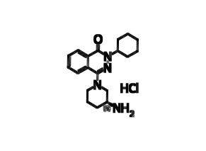 Cl.N[C@H]1CCCN(c2nn(C3CCCCC3)c(=O)c3ccccc23)C1